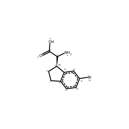 NC(C(=O)O)[C@@H]1CCc2ccc(Br)cc21